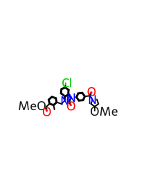 COC(=O)c1cccc(Cn2c(=O)n(-c3ccc(C(=O)N4CCC(OC)C4)cc3)c3cc(Cl)ccc32)c1C